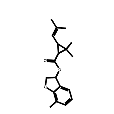 CC(C)=CC1C(C(=O)OC2COc3c(C)cccc32)C1(C)C